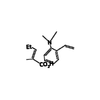 C=Cc1ccccc1N(C)C.CCC=C(C)C(=O)O